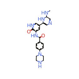 CNC1C=NC=C(c2c[nH]c(=O)c(NC(=O)c3ccc(N4CCNCC4)cc3)c2)N1